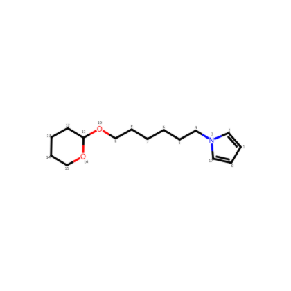 c1ccn(CCCCCCOC2CCCCO2)c1